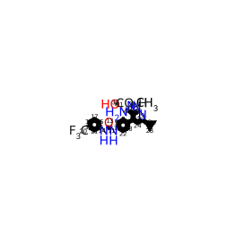 Cn1nc(N)c2c(-c3ccc(NC(=O)Nc4cccc(C(F)(F)F)c4)cc3)cc(C3CC3)nc21.O=C(O)O